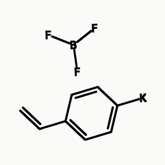 C=Cc1cc[c]([K])cc1.FB(F)F